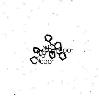 O=C([O-])N1CCCC[C@@H]1C(=O)[N+]1(c2nnc([N+]3(C(=O)[C@@]4(Cc5ccccc5)C(Cc5ccccc5)CCCN4C(=O)[O-])C4=CC=C3C=C4)o2)C2=CC=C1C=C2